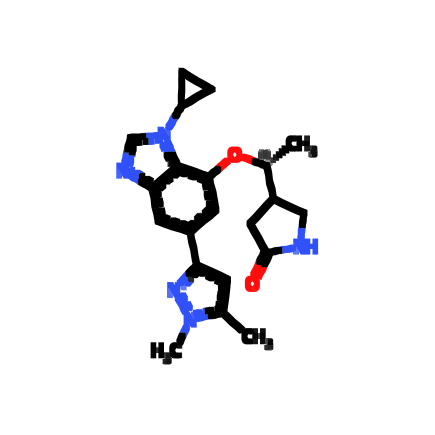 Cc1cc(-c2cc(O[C@H](C)C3CNC(=O)C3)c3c(c2)ncn3C2CC2)nn1C